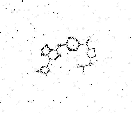 CC(=O)NC1CCN(C(=O)c2ccc(Nc3ncc(-c4cn[nH]c4)n4ncnc34)cc2)C1